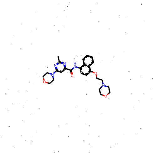 Cc1nc(C(=O)Nc2ccc(OCCN3CCOCC3)c3ccccc23)cc(N2CCOCC2)n1